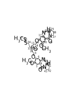 COc1cc2c(cc1OCCP(=O)(CCOc1cc3c(cc1OC)C(=O)N1CCC[C@H]1C=N3)CCSSC)N=C[C@@H]1CCCN1C2=O